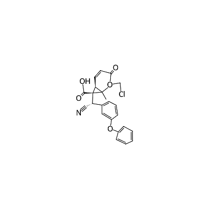 CC1(C)[C@H](/C=C\C(=O)OCCl)[C@@]1(C(=O)O)[C@@H](C#N)c1cccc(Oc2ccccc2)c1